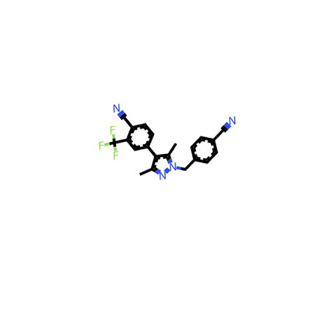 Cc1nn(Cc2ccc(C#N)cc2)c(C)c1-c1ccc(C#N)c(C(F)(F)F)c1